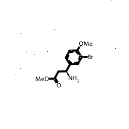 COC(=O)C[C@H](N)c1ccc(OC)c(Br)c1